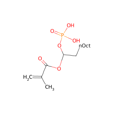 C=C(C)C(=O)OC(CCCCCCCCC)OP(=O)(O)O